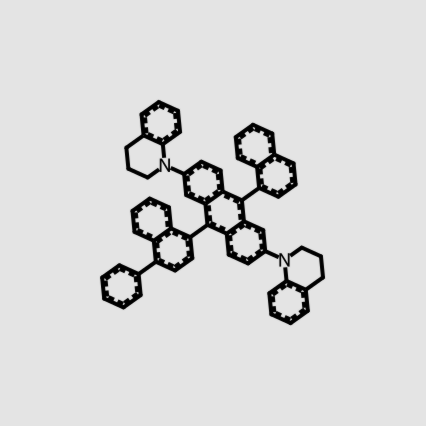 c1ccc(-c2ccc(-c3c4ccc(N5CCCc6ccccc65)cc4c(-c4cccc5ccccc45)c4ccc(N5CCCc6ccccc65)cc34)c3ccccc23)cc1